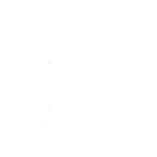 CC(C)(CCn1cnc2ccccc21)NCC(O)c1ccc(O)cc1F